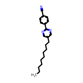 CCCCCCCCCCc1cnc(-c2ccc(C#N)cc2)nc1